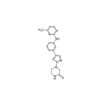 Cc1ccnc(Nc2cccc(-c3cnc(N4CCNC(=O)C4)o3)c2)n1